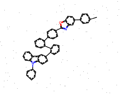 Cc1ccc(-c2ccc3oc(-c4ccc(-c5ccccc5-c5ccccc5-c5ccc6c(c5)c5ccccc5n6-c5ccccc5)cc4)nc3c2)cc1